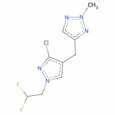 Cn1ncc(Cc2cn(CC(F)F)nc2Cl)n1